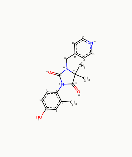 Cc1cc(O)ccc1N1C(=O)N(Cc2ccncc2)C(C)(C)C1=O